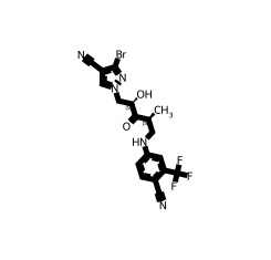 C[C@@H](CNc1ccc(C#N)c(C(F)(F)F)c1)C(=O)[C@@H](O)Cn1cc(C#N)c(Br)n1